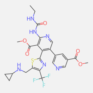 CCNC(=O)Nc1ncc(-c2cncc(C(=O)OC)c2)c(-c2nc(C(F)(F)F)c(CNC3CC3)s2)c1C(=O)OC